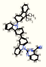 CC1(C)c2ccccc2-c2ccc(-n3c4ccccc4c4cc(-c5ccc6c(c5)c5ccccc5n6-c5nc(C#N)c6ccccc6n5)ccc43)cc21